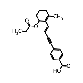 CCC(=O)OC1CCCC(C)=C1C=CC#Cc1ccc(C(=O)O)cc1